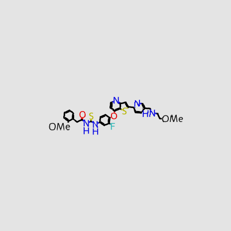 COCCNCc1ccc(-c2cc3nccc(Oc4ccc(NC(=S)NC(=O)Cc5ccccc5OC)cc4F)c3s2)nc1